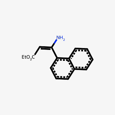 CCOC(=O)/C=C(/N)c1cccc2ccccc12